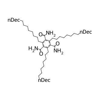 CCCCCCCCCCCCCCCCCCc1c(C(N)=O)c(CCCCCCCCCCCCCCCCCC)c(C(N)=O)c(CCCCCCCCCCCCCCCCCC)c1C(N)=O